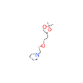 CC1(C)OCC(CCOCCN2CCCC2)O1